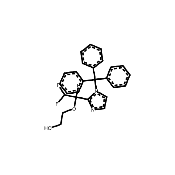 OCCOC(F)(c1nccn1C(c1ccccc1)(c1ccccc1)c1ccccc1)C(F)F